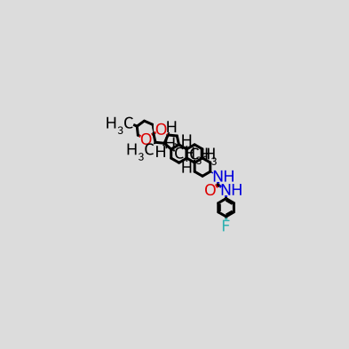 CC1CC[C@@]2(OC1)O[C@H]1C[C@H]3[C@@H]4CC[C@H]5C[C@H](NC(=O)Nc6ccc(F)cc6)CC[C@]5(C)[C@H]4CC[C@]3(C)[C@H]1[C@@H]2C